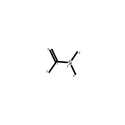 C=C(C)[Si](C)C